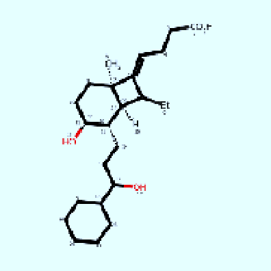 CCC1C(=CCCC(=O)O)[C@]2(C)CC[C@H](O)[C@@H](CCC(O)C3CCCCC3)[C@H]12